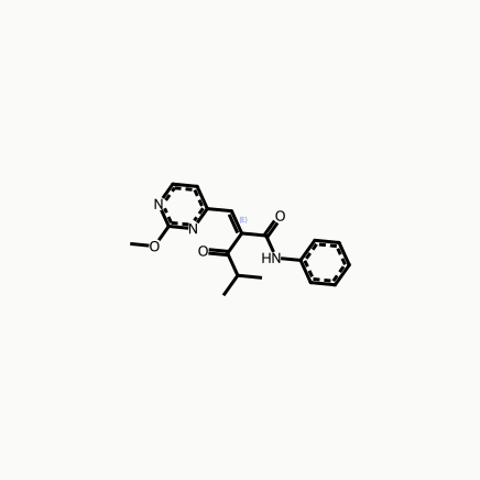 COc1nccc(/C=C(/C(=O)Nc2ccccc2)C(=O)C(C)C)n1